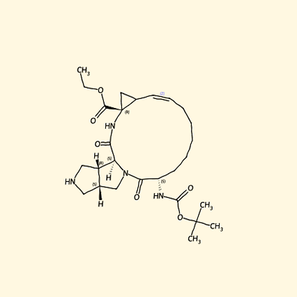 CCOC(=O)[C@@]12CC1/C=C\CCCCC[C@H](NC(=O)OC(C)(C)C)C(=O)N1C[C@@H]3CNC[C@@H]3[C@H]1C(=O)N2